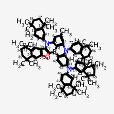 Cc1cc2c3c(c1)N(c1ccc4c(c1)C(C)(C)CCC4(C)C)c1c(oc4cc5c(cc14)C(C)(C)CCC5(C)C)B3c1ccc(N(c3ccc4c(c3)C(C)(C)CCC4(C)C)c3ccc4c(c3)C(C)(C)CCC4(C)C)cc1N2c1ccc2c(c1)C(C)(C)CCC2(C)C